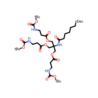 CCCCCCCCCCCCCCCC(=O)NC(COC(=O)CCNC(=O)OC(C)(C)C)(COC(=O)CCNC(=O)OC(C)(C)C)COC(=O)CCNC(=O)OC(C)(C)C